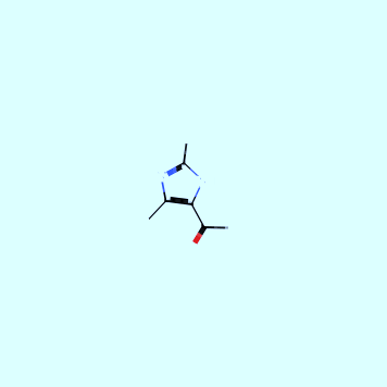 CCCc1nc(C)c(C(=O)CC)[nH]1